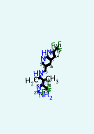 C=C(NCc1cnc2[nH]c(C(F)(F)F)cc2c1)/C(C)=C(\N=C/N)C(F)(F)F